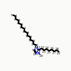 CCCCCCCCCCCCCCCC[n+]1ccn(C)c1CCCCCCCC